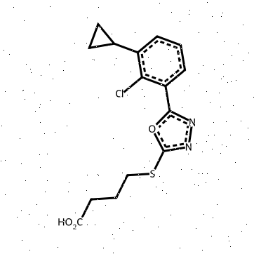 O=C(O)CCCSc1nnc(-c2cccc(C3CC3)c2Cl)o1